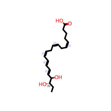 CC[C@H](O)C(O)/C=C/C=C/C=C\C/C=C\C/C=C\CCCC(=O)O